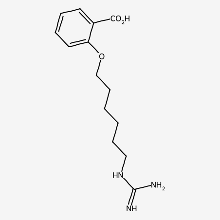 N=C(N)NCCCCCCOc1ccccc1C(=O)O